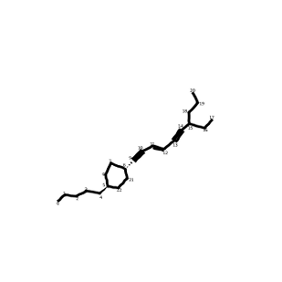 CCCCC[C@H]1CC[C@H](C#C/C=C/C#CC(CC)CCC)CC1